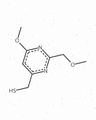 COCc1nc(CS)cc(OC)n1